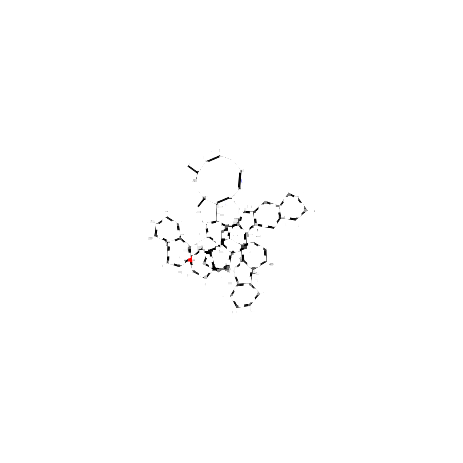 C=C1/C=C\C/C=C\C(n2c3cc4ccccc4cc3c3cc4ccccc4cc32)=C(\c2nc(-c3cccc4ccccc34)nc(-c3cccc4c5ccccc5n(-c5ccccc5)c34)n2)C(=C)O1